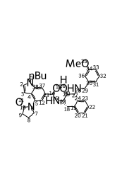 CCCCn1ccc2c(N3CCCC3=O)cc(C(=O)N[C@@H](Cc3ccccc3)[C@@H](O)CNCc3cccc(OC)c3)cc21